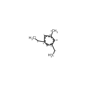 CCc1[c]c(CC)cc(C)c1